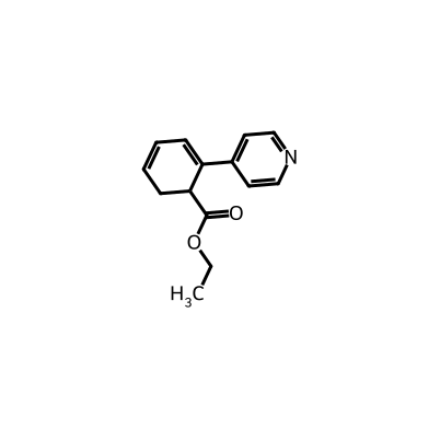 CCOC(=O)C1CC=CC=C1c1ccncc1